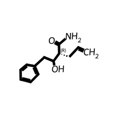 C=CC[C@@H](C(N)=O)C(O)Cc1ccccc1